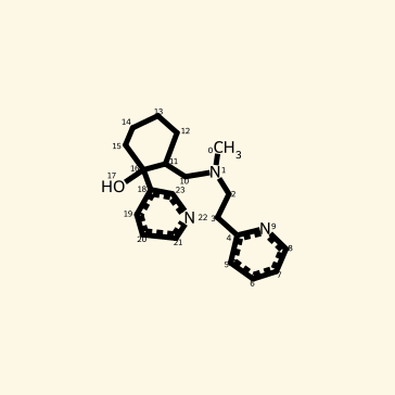 CN(CCc1ccccn1)CC1CCCCC1(O)c1cccnc1